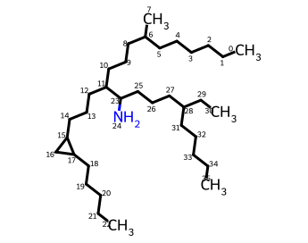 CCCCCCC(C)CCCC(CCCC1CC1CCCCC)C(N)CCCC(CC)CCCCC